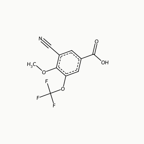 COc1c(C#N)cc(C(=O)O)cc1OC(F)(F)F